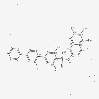 Fc1cc(-c2ccccc2)ccc1-c1cc(F)c(C(F)(F)Oc2ccc3c(F)c(I)c(F)cc3c2)c(F)c1